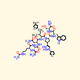 CC[C@H](C)[C@H](NC(=O)[C@H](CC(N)=O)NC(=O)[C@H](CC(N)=O)NC(=O)[C@@H](N)CCCNC(N)=O)C(=O)N1CC(C2=CN(c3cc[cH-]c3)NN2)C[C@H]1C(=O)N[C@@H](Cc1c[nH]c2ccccc12)C(=O)N[C@@H](CO)C(N)=O.[Fe+2].c1cc[cH-]c1